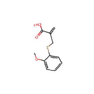 C=C(CSc1ccccc1OC)C(=O)O